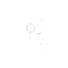 Cc1cc(C(=O)O)cc(N2CCCC2)c1C(=O)NS(=O)(=O)N(C)C